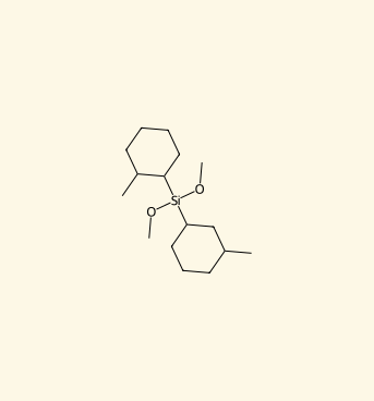 CO[Si](OC)(C1CCCC(C)C1)C1CCCCC1C